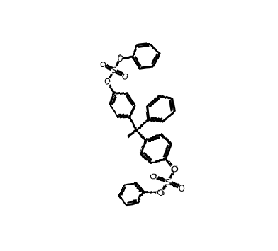 CC(c1ccccc1)(c1ccc(OS(=O)(=O)Oc2ccccc2)cc1)c1ccc(OS(=O)(=O)Oc2ccccc2)cc1